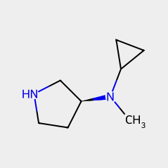 CN(C1CC1)[C@H]1CCNC1